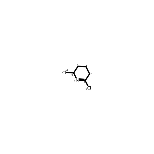 ClC1=NC(Cl)CCC1